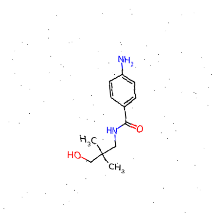 CC(C)(CO)CNC(=O)c1ccc(N)cc1